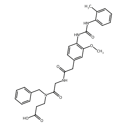 COc1cc(CC(=O)NCC(=O)N(CCC(=O)O)Cc2ccccc2)ccc1NC(=O)Nc1ccccc1C